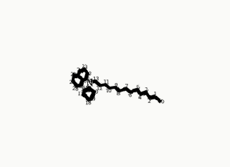 CCCCCCCCCCCCCCN(c1ccccc1)c1cccc2ccccc12